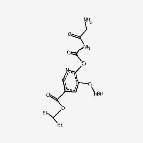 CCCCOc1cc(C(=O)OC(CC)CC)cnc1OC(=O)NC(=O)CN